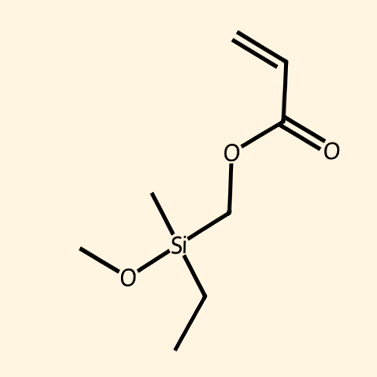 C=CC(=O)OC[Si](C)(CC)OC